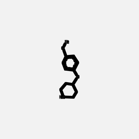 CCOc1ccc(OC2CCNCC2)cc1